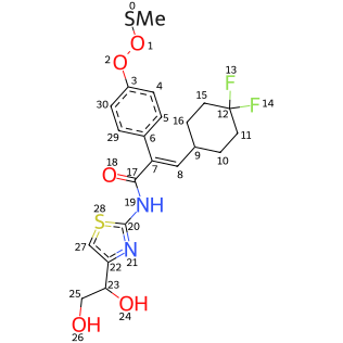 CSOOc1ccc(/C(=C\C2CCC(F)(F)CC2)C(=O)Nc2nc(C(O)CO)cs2)cc1